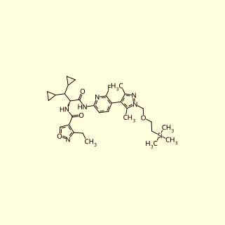 CCc1nocc1C(=O)N[C@H](C(=O)Nc1ccc(-c2c(C)nn(COCC[Si](C)(C)C)c2C)c(F)n1)C(C1CC1)C1CC1